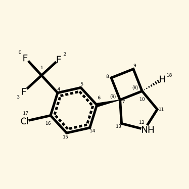 FC(F)(F)c1cc([C@@]23CC[C@H]2CNC3)ccc1Cl